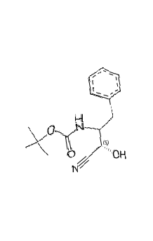 CC(C)(C)OC(=O)NC(Cc1ccccc1)[C@H](O)C#N